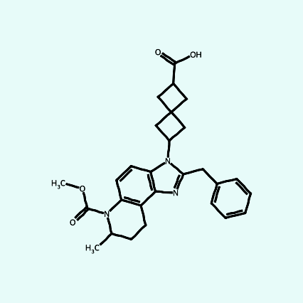 COC(=O)N1c2ccc3c(nc(Cc4ccccc4)n3C3CC4(CC(C(=O)O)C4)C3)c2CCC1C